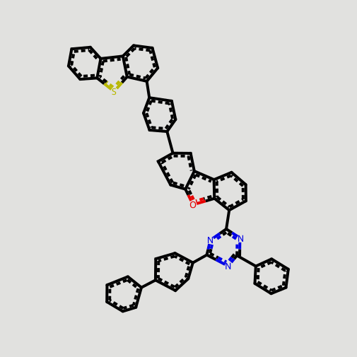 c1ccc(-c2ccc(-c3nc(-c4ccccc4)nc(-c4cccc5c4oc4ccc(-c6ccc(-c7cccc8c7sc7ccccc78)cc6)cc45)n3)cc2)cc1